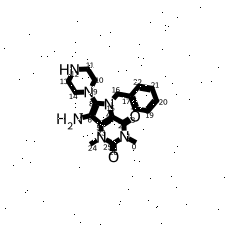 Cn1c(=O)c2c(c(N)c(N3CCNCC3)n2Cc2ccccc2)n(C)c1=O